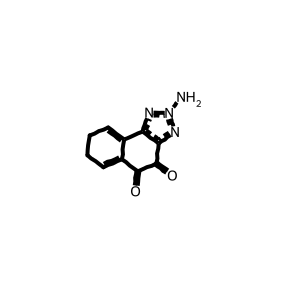 Nn1nc2c(n1)C1=CCCC=C1C(=O)C2=O